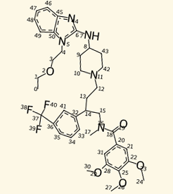 CCOCCn1c(NC2CCN(CCC(CN(C)C(=O)c3cc(OC)c(OC)c(OC)c3)c3cccc(C(F)(F)F)c3)CC2)nc2ccccc21